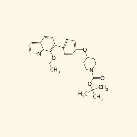 CCOc1c(-c2ccc(OC3CCN(C(=O)OC(C)(C)C)CC3)cc2)ccc2cccnc12